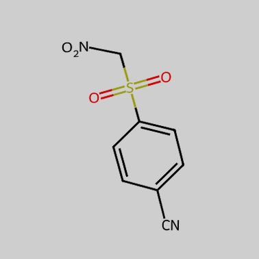 N#Cc1ccc(S(=O)(=O)C[N+](=O)[O-])cc1